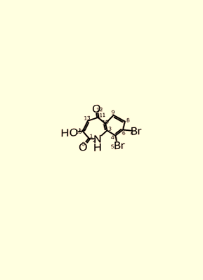 O=c1[nH]c2c(Br)c(Br)ccc2c(=O)cc1O